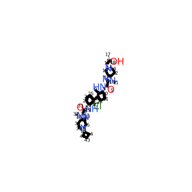 Cc1c(NC(=O)c2nc3c(n2C)CCN(C[C@H](C)O)C3)cccc1-c1cccc(NC(=O)c2nc3c(n2C)CCN(C2CCC2)C3)c1Cl